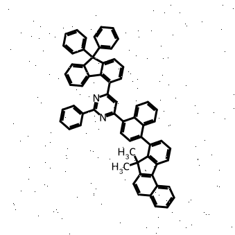 CC1(C)c2ccc3ccccc3c2-c2cccc(-c3ccc(-c4cc(-c5cccc6c5-c5ccccc5C6(c5ccccc5)c5ccccc5)nc(-c5ccccc5)n4)c4ccccc34)c21